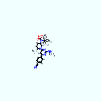 CNc1nc(-c2ccc(C#N)c(F)c2)cc(N2C[C@H](N(C(=O)O)C(C)(C)C)CC[C@@H]2C)n1